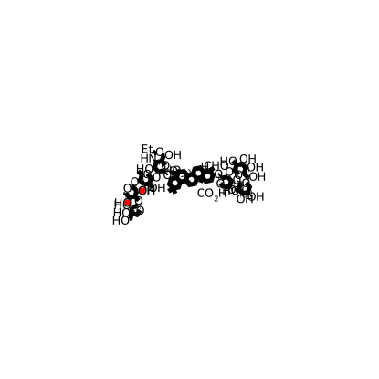 CCC(=O)N[C@H]1C(CO)O[C@@H](OC(=O)[C@]23CCC(C)(C)CC2C2=CCC4C5(C)CC[C@H](O[C@@H]6OC(C(=O)O)[C@@H](O)[C@H](O[C@@H]7OC[C@@H](O)[C@H](O)C7O)C6O[C@@H]6OC(CO)[C@H](O)[C@H](O)C6O)[C@](C)(C=O)[C@@H]5CC[C@]4(C)[C@]2(C)CC3O)C(O[C@@H]2OC(C)[C@H](O[C@@H]3OC[C@@H](O)C(O[C@@H]4OC[C@@](O)(CO)C4O)C3O)C(O)C2O)C1O